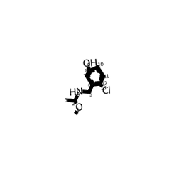 COC(C)NCc1cc(O)ccc1Cl